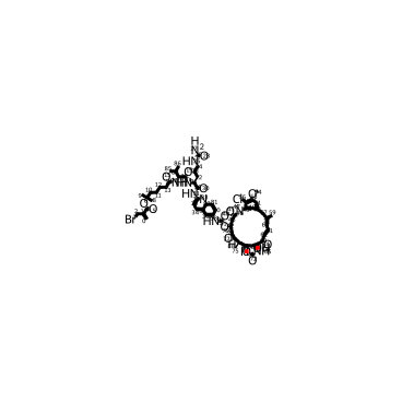 C=C(CBr)C(=O)OC(C)(C)CCCCC(=O)N[C@H](C(=O)N[C@@H](CCCNC(N)=O)C(=O)Nc1ccc2cc(NC(=O)O[C@H]3CC(=O)N(C)c4cc(cc(OC)c4Cl)C/C(C)=C/C=C/[C@@H](OC)[C@@]4(O)C[C@H](OC(=O)N4)[C@@H](C)[C@@H]4O[C@@]34C)ccc2n1)C(C)C